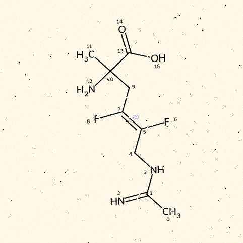 CC(=N)NC/C(F)=C(\F)CC(C)(N)C(=O)O